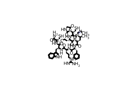 C/N=C\NC(C)C[C@H](NC(=O)[C@H](CCC(=O)O)NC(=O)[C@H](CS)N1C(=O)CNC1=O)C(=O)N[C@H](Cc1ccccc1)C(=O)N[C@@H](CCCNC(=N)N)C(=O)N[C@@H](Cc1c[nH]c2ccccc12)C(=O)N[C@@H](CS)C(N)=O